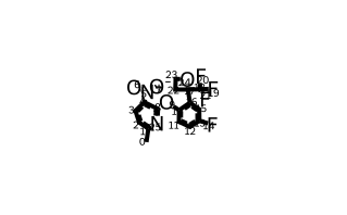 Cc1ccc([N+](=O)[O-])c(Oc2ccc(F)cc2C2(C(F)(F)F)CCO2)n1